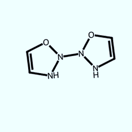 C1=CON(N2NC=CO2)N1